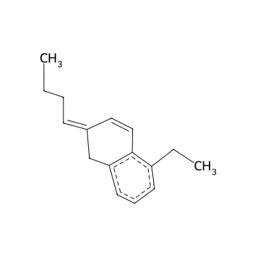 CCCC=C1C=Cc2c(CC)cccc2C1